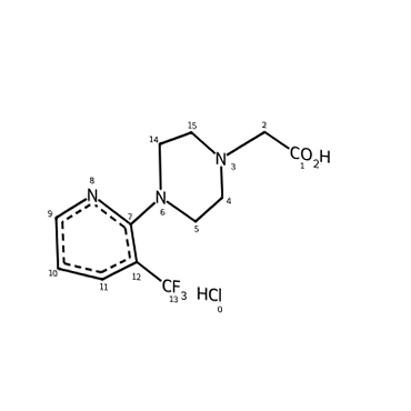 Cl.O=C(O)CN1CCN(c2ncccc2C(F)(F)F)CC1